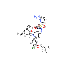 Cc1cc(C)c(Oc2nc(-c3ccc(Cl)c(OCC(C)C)c3)ccc2C(=O)NS(=O)(=O)c2cccc(N)n2)c(C)c1